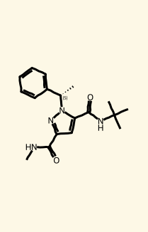 CNC(=O)c1cc(C(=O)NC(C)(C)C)n([C@@H](C)c2ccccc2)n1